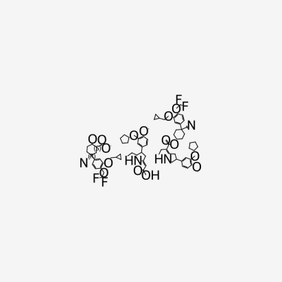 CCC(C(=O)OC1CCC(C#N)(c2ccc(OC(F)F)c(OCC3CC3)c2)CC1)=C1CC(c2ccc(OC)c(OC3CCCC3)c2)CN1.CCC1NC(=CC(=O)O)CC1c1ccc(OC)c(OC2CCCC2)c1.COC(=O)[C@H]1C[C@@](C#N)(c2ccc(OC(F)F)c(OCC3CC3)c2)CCC1=O